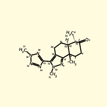 C[C@@H]1C(=O)CCC2(C)c3nn(C)c(-c4nnn(C)n4)c3CC[C@@H]12